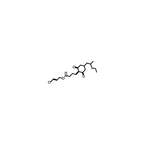 CCSC(C)CC1CC(=O)C(=CCCNOC/C=C/Cl)C(=O)C1